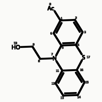 CC(=O)c1ccc2c(c1)N(CCO)c1ccccc1S2